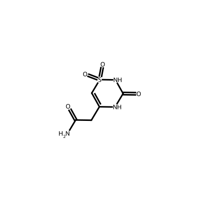 NC(=O)CC1=CS(=O)(=O)NC(=O)N1